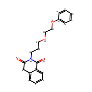 O=C1Cc2ccccc2C(=O)N1CCCOCCOc1ccccc1